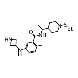 CCSN1CCC(C(C)NC(=O)c2cc(NC3CNC3)ccc2C)CC1